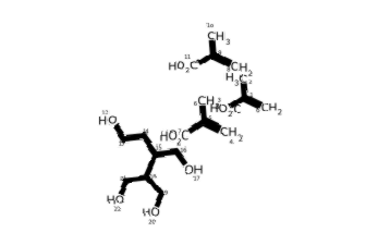 C=C(C)C(=O)O.C=C(C)C(=O)O.C=C(C)C(=O)O.OCCC(CO)C(CO)CO